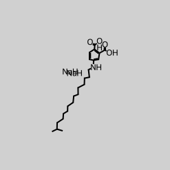 CC(C)CCCCCCCCCCCCCNc1ccc(C(=O)O)c(C(=O)O)c1.[NaH].[NaH]